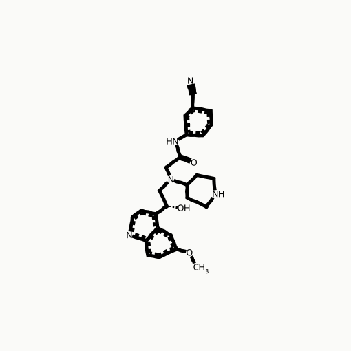 COc1ccc2nccc([C@@H](O)CN(CC(=O)Nc3cccc(C#N)c3)C3CCNCC3)c2c1